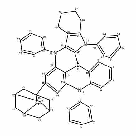 c1ccc(N2c3ccccc3B3c4c2cc(C25CC6CC(CC(C6)C2)C5)cc4N(c2ccccc2)c2c4c(n(-c5ccccc5)c23)CCCC4)cc1